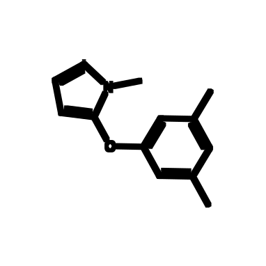 Cc1cc(C)cc(Oc2cc[c]n2C)c1